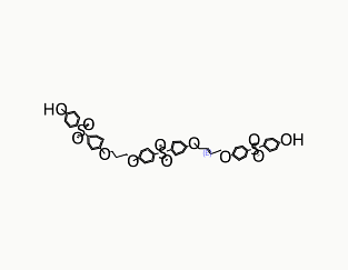 O=S(=O)(c1ccc(O)cc1)c1ccc(OC/C=C/COc2ccc(S(=O)(=O)c3ccc(OCCCOc4ccc(S(=O)(=O)c5ccc(O)cc5)cc4)cc3)cc2)cc1